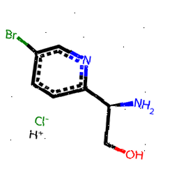 N[C@@H](CO)c1ccc(Br)cn1.[Cl-].[H+]